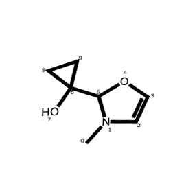 CN1C=COC1C1(O)CC1